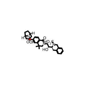 CC1(C)CN(C[C@@H](O)[C@@H]2Cc3ccccc3CN2C(=O)O)C(=O)c2ccc(C(=O)N3[C@@H]4CC[C@H]3C[C@@H](O)C4)cc21